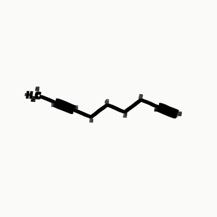 [C]#CCCCCC#C[CH2]